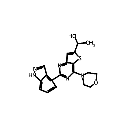 C[C@H](O)c1cc2nc(-c3cccc4[nH]ncc34)nc(N3CCOCC3)c2s1